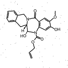 C=CCOC(=O)N1c2cc(O)c(OC)cc2C(=O)N2Cc3ccccc3C[C@H]2C1O